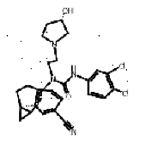 N#Cc1cccc([C@]23CC[C@@H](N(CCN4CC[C@H](O)C4)C(=O)Nc4ccc(Cl)c(Cl)c4)CC2C3)c1